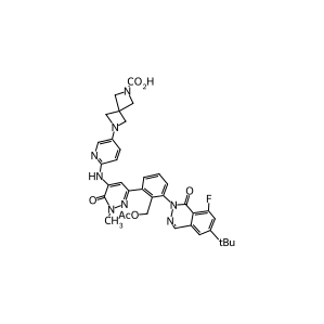 CC(=O)OCc1c(-c2cc(Nc3ccc(N4CC5(CN(C(=O)O)C5)C4)cn3)c(=O)n(C)n2)cccc1-n1ncc2cc(C(C)(C)C)cc(F)c2c1=O